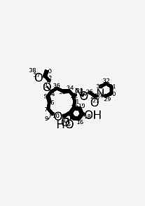 C=C(CO[C@@H]1/C=C/C[C@@H](C)OC(=O)c2c(O)cc(O)cc2CC(=NOCC(=O)N2CCCCC2)/C=C/C1)OC